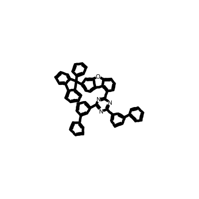 c1ccc(-c2cccc(-c3nc(-c4cccc(-c5ccccc5)c4)nc(-c4cccc5oc6cc(C7(c8ccccc8)c8ccccc8-c8ccccc87)ccc6c45)n3)c2)cc1